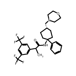 CC(C(=O)N[C@]1(c2ccccc2)CC[C@@H](CN2CCOCC2)CC1)c1cc(C(F)(F)F)cc(C(F)(F)F)c1